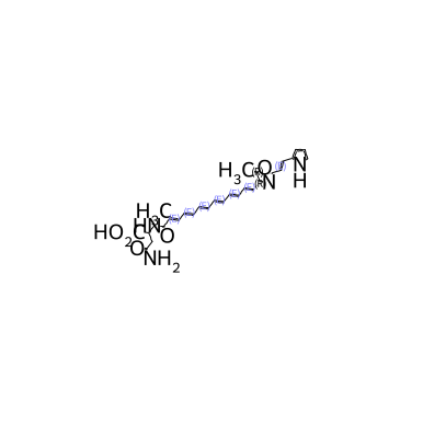 C\C(=C/C=C/C=C/C=C/C=C/C=C/[C@H]1N=C(/C=C/c2ccc[nH]2)O[C@@H]1C)C(=O)NC(CC(N)=O)C(=O)O